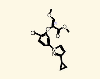 CO/C=C(\Oc1cc(-n2ccc(C3CC3)n2)ccc1Cl)C(=O)OC